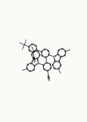 Cc1ccc2c(c1)c1cc(C)ccc1n2-c1ccc(-c2ccc(C(F)(F)F)cc2C#N)cc1-c1ccc(C#N)cc1-n1c2ccc(C)cc2c2cc(C)ccc21